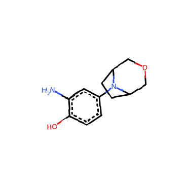 Nc1cc(N2C3CCC2COC3)ccc1O